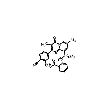 Cc1cc([C@H](C)Nc2ccccc2C(=O)O)c2nc(-c3cnc(C#N)c(Cl)c3)c(C)c(=O)n2c1